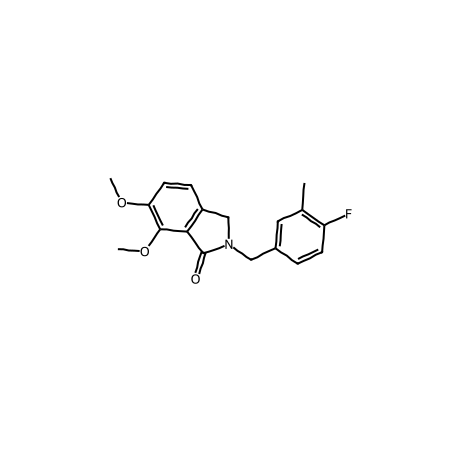 COc1ccc2c(c1OC)C(=O)N(Cc1ccc(F)c(C)c1)C2